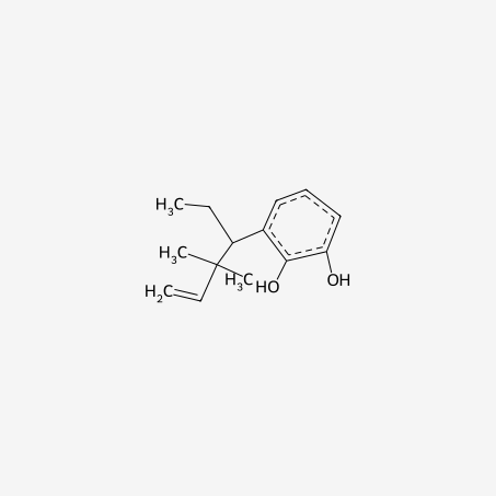 C=CC(C)(C)C(CC)c1cccc(O)c1O